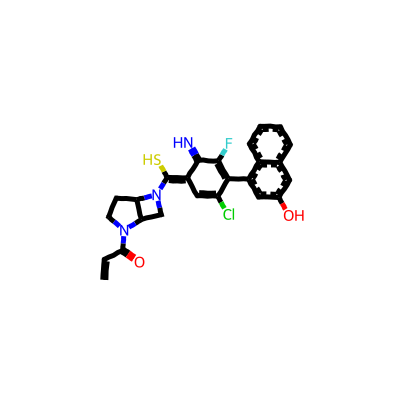 C=CC(=O)N1CCC2C1CN2/C(S)=C1\C=C(Cl)C(c2cc(O)cc3ccccc23)=C(F)C1=N